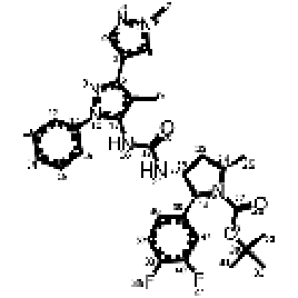 Cc1c(-c2cnn(C)c2)nn(-c2ccccc2)c1NC(=O)N[C@@H]1C[C@@H](C)N(C(=O)OC(C)(C)C)[C@H]1c1ccc(F)c(F)c1